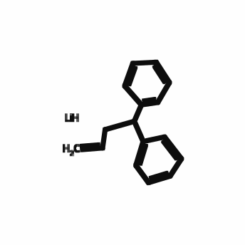 C=CCC(c1ccccc1)c1ccccc1.[LiH]